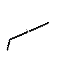 CCCCCCCC/C=C\CCCCCCCCCCCCCC(=O)OCCCCCCCCCCCCCCCCCC